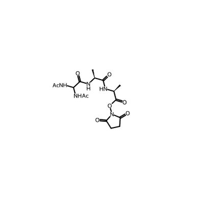 CC(=O)NC(NC(C)=O)C(=O)N[C@@H](C)C(=O)N[C@@H](C)C(=O)ON1C(=O)CCC1=O